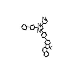 CC1(C)c2ccc(-c3ccc(-c4cc(-c5cccnc5)nc(-c5ccc(-c6ccccc6)cc5)n4)cc3)cc2-c2ccc3ccccc3c21